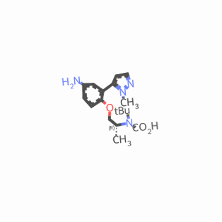 C[C@H](COc1ccc(N)cc1-c1ccnn1C)N(C(=O)O)C(C)(C)C